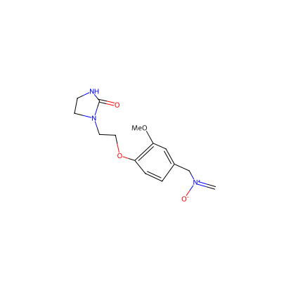 C=[N+]([O-])Cc1ccc(OCCN2CCNC2=O)c(OC)c1